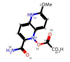 COC1=CC=C2C(=CC=C(C(N)=O)N2OC(=O)C(=O)O)N1